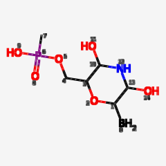 BC1OC(COP(C)(=O)O)C(O)NC1O